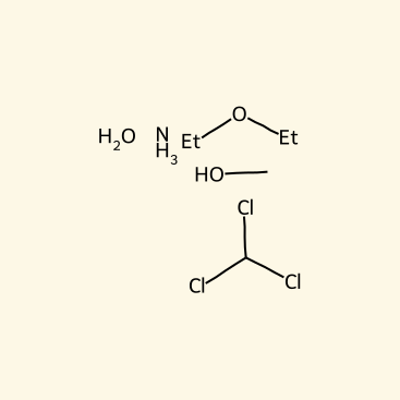 CCOCC.CO.ClC(Cl)Cl.N.O